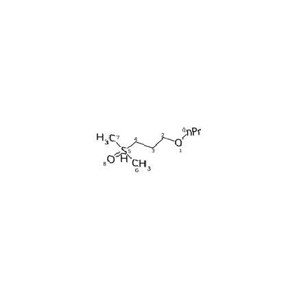 CCCOCCC[SH](C)(C)=O